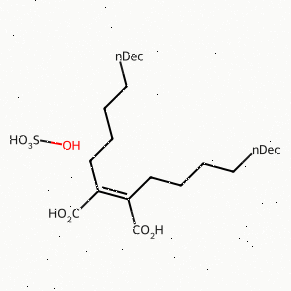 CCCCCCCCCCCCCCC(C(=O)O)=C(CCCCCCCCCCCCCC)C(=O)O.O=S(=O)(O)O